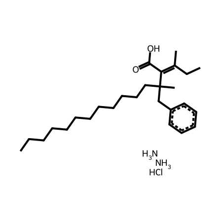 CCCCCCCCCCCCC(C)(Cc1ccccc1)C(C(=O)O)=C(C)CC.Cl.N.N